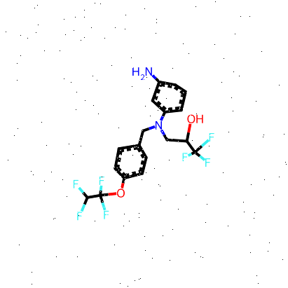 Nc1cccc(N(Cc2ccc(OC(F)(F)C(F)F)cc2)CC(O)C(F)(F)F)c1